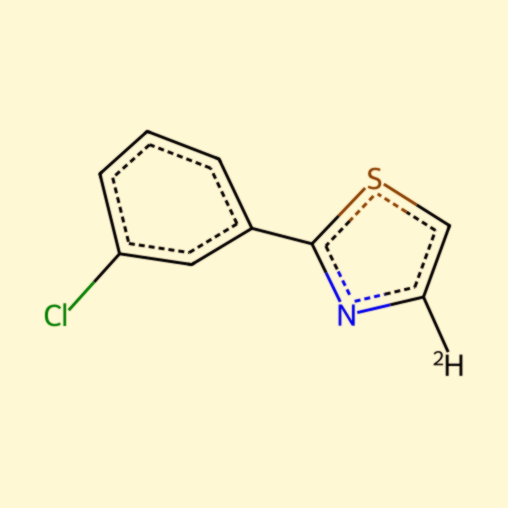 [2H]c1csc(-c2cccc(Cl)c2)n1